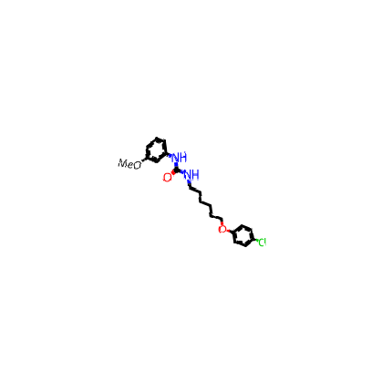 COc1cccc(NC(=O)NCCCCCCOc2ccc(Cl)cc2)c1